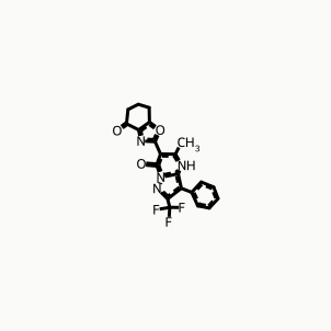 Cc1[nH]c2c(-c3ccccc3)c(C(F)(F)F)nn2c(=O)c1-c1nc2c(o1)CCCC2=O